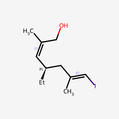 CC[C@@H](/C=C(/C)CO)C/C(C)=C/I